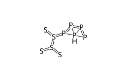 S=S(=S)=S(=S)=P1=P2=P3=P[PH]321